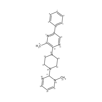 Cc1nc(-c2ccccc2)cnc1N1CCN(C2N=CC=CN2C)CC1